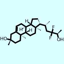 C[C@H](CC(F)(F)[C@@H](C)O)[C@H]1CC[C@H]2[C@@H]3CC=C4C[C@@](C)(O)CC[C@]4(C)[C@H]3CC[C@]12C